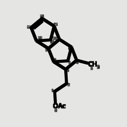 CC(=O)OCCC1C(C)C2CC1C1C3C=CC(C3)C21